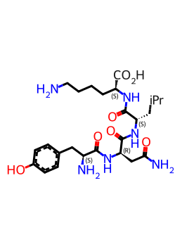 CC(C)C[C@H](NC(=O)[C@@H](CC(N)=O)NC(=O)[C@@H](N)Cc1ccc(O)cc1)C(=O)N[C@@H](CCCCN)C(=O)O